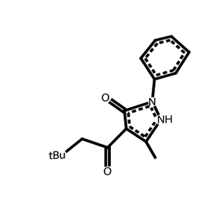 Cc1[nH]n(-c2ccccc2)c(=O)c1C(=O)CC(C)(C)C